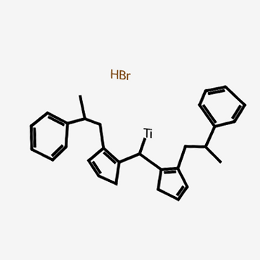 Br.CC(CC1=C([CH]([Ti])C2=C(CC(C)c3ccccc3)C=CC2)CC=C1)c1ccccc1